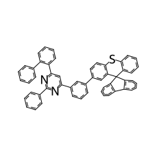 c1ccc(-c2nc(-c3cccc(-c4ccc5c(c4)C4(c6ccccc6S5)c5ccccc5-c5ccccc54)c3)cc(-c3ccccc3-c3ccccc3)n2)cc1